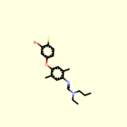 CCCN(C=Nc1cc(C)c(Oc2ccc(F)c(Br)c2)cc1C)CC